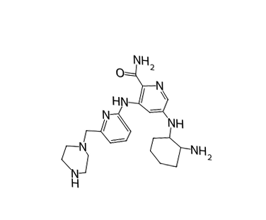 NC(=O)c1ncc(NC2CCCCC2N)cc1Nc1cccc(CN2CCNCC2)n1